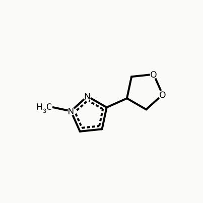 Cn1ccc(C2COOC2)n1